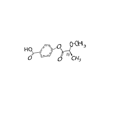 CO[C@@H](C)C(=O)Oc1ccc(C(=O)O)cc1